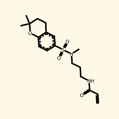 C=CC(=O)NCCCN(C)S(=O)(=O)c1ccc2c(c1)CCC(C)(C)O2